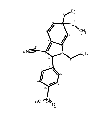 CCN1C2=CC(CBr)(OC)C=CC2=C(C#N)C1c1ccc([N+](=O)[O-])cc1